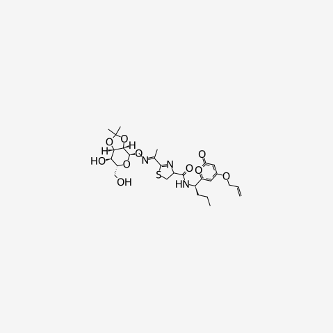 C=CCOc1cc([C@@H](CCC)NC(=O)C2CSC(/C(C)=N/O[C@H]3O[C@H](CO)[C@@H](O)[C@@H]4OC(C)(C)O[C@H]34)=N2)oc(=O)c1